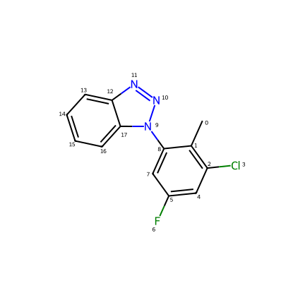 Cc1c(Cl)cc(F)cc1-n1nnc2ccccc21